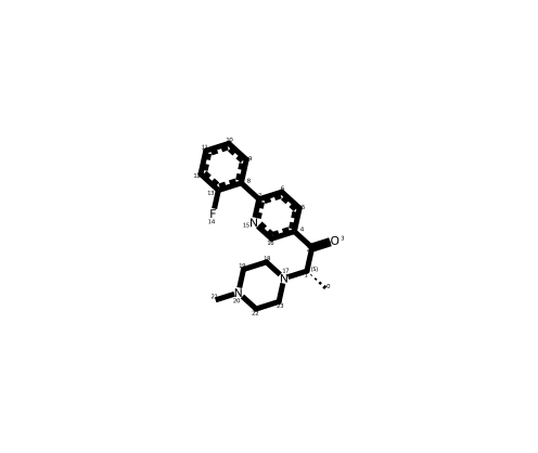 C[C@@H](C(=O)c1ccc(-c2ccccc2F)nc1)N1CCN(C)CC1